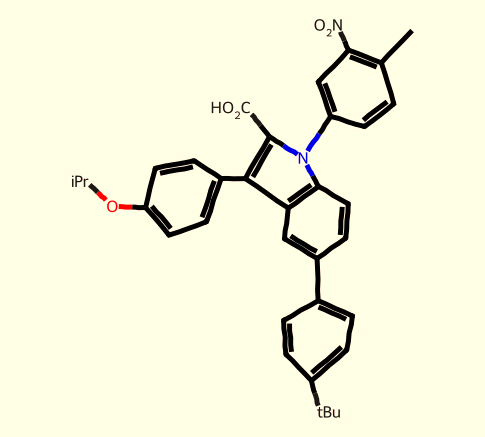 Cc1ccc(-n2c(C(=O)O)c(-c3ccc(OC(C)C)cc3)c3cc(-c4ccc(C(C)(C)C)cc4)ccc32)cc1[N+](=O)[O-]